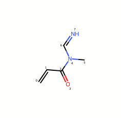 C=CC(=O)N(C)C=N